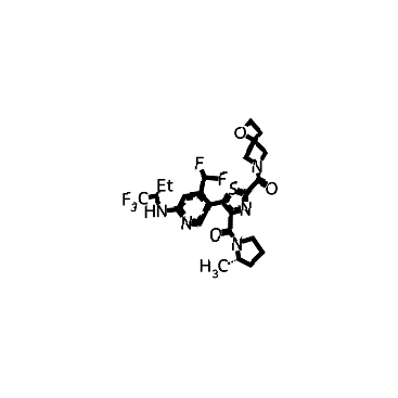 CC[C@H](Nc1cc(C(F)F)c(-c2sc(C(=O)N3CC4(CCO4)C3)nc2C(=O)N2CCC[C@@H]2C)cn1)C(F)(F)F